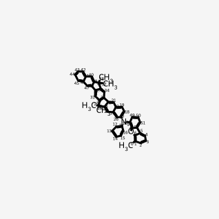 Cc1cccc2c1oc1c(N(c3ccccc3)c3ccc4cc5c(cc4c3)C(C)(C)c3cc4c(cc3-5)C(C)(C)c3cc5ccccc5cc3-4)cccc12